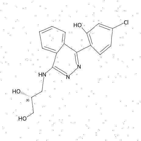 OC[C@H](O)CNc1nnc(-c2ccc(Cl)cc2O)c2ccccc12